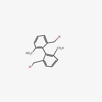 O=C(O)c1cccc(CBr)c1-c1c(CBr)cccc1C(=O)O